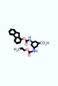 C=CCOC(=O)NC1CC(NC(=O)Oc2cccc3c2Cc2ccccc2-3)CC(C(=O)O)C1